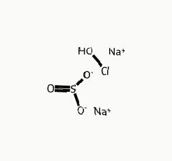 O=S([O-])[O-].OCl.[Na+].[Na+]